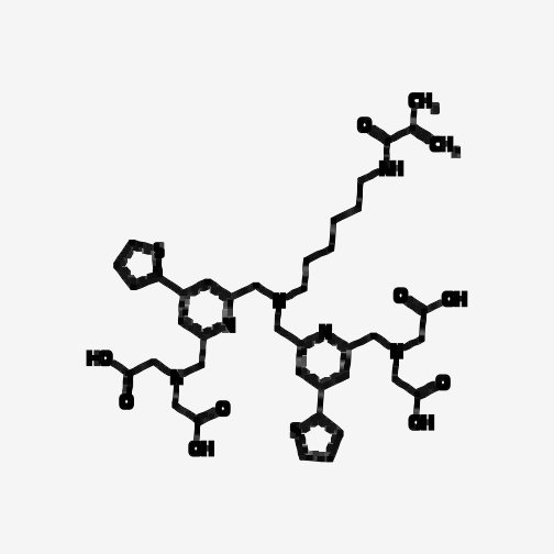 C=C(C)C(=O)NCCCCCCN(Cc1cc(-c2cccs2)cc(CN(CC(=O)O)CC(=O)O)n1)Cc1cc(-c2cccs2)cc(CN(CC(=O)O)CC(=O)O)n1